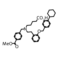 COC(=O)c1ccc(CN(CCCCC(=O)O)CCc2ccccc2OCc2ccc(C3CCCCC3)cc2)cc1